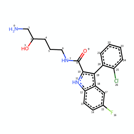 NCC(O)CCCNC(=O)c1[nH]c2ccc(F)cc2c1-c1ccccc1Cl